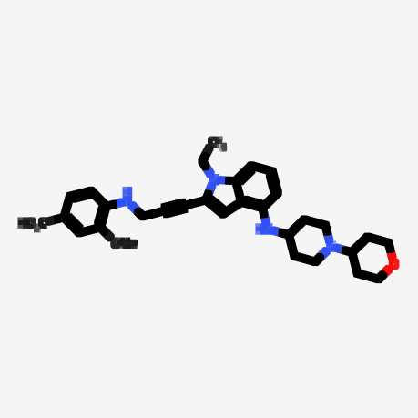 COc1cc(C(=O)O)ccc1NCC#Cc1cc2c(NC3CCN(C4CCOCC4)CC3)cccc2n1CC(F)(F)F